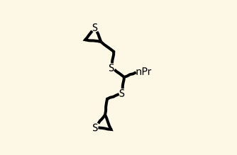 CCCC(SCC1CS1)SCC1CS1